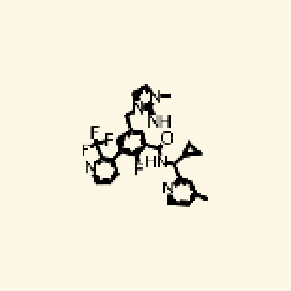 Cc1ccnc(C(NC(=O)c2cc(Cn3ccn(C)c3=N)cc(-c3cccnc3C(F)(F)F)c2F)C2CC2)c1